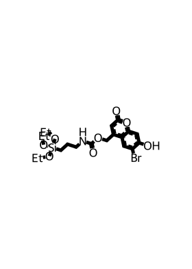 CCO[Si](CCCNC(=O)OCc1cc(=O)oc2cc(O)c(Br)cc12)(OCC)OCC